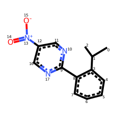 CC(C)c1ccccc1-c1ncc([N+](=O)[O-])cn1